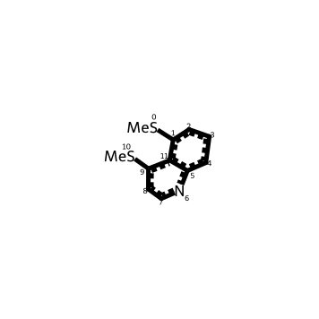 CSc1cccc2nccc(SC)c12